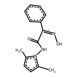 Cc1ccc(C)n1NC(=O)/C(=N\O)c1ccccc1